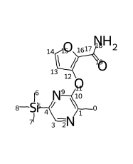 Cc1ncc([Si](C)(C)C)nc1Oc1ccoc1C(N)=O